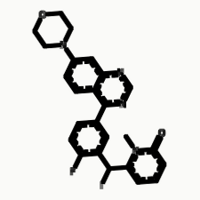 Cn1c(C(I)c2cc(-c3ncnc4cc(N5CCOCC5)ccc34)ccc2F)cccc1=O